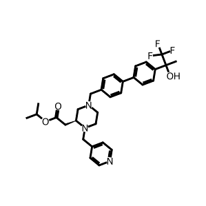 CC(C)OC(=O)C[C@H]1CN(Cc2ccc(-c3ccc(C(C)(O)C(F)(F)F)cc3)cc2)CCN1Cc1ccncc1